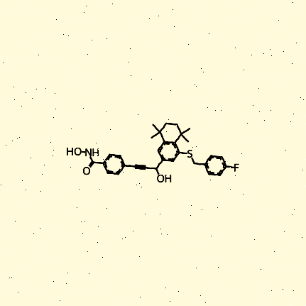 CC1(C)CCC(C)(C)c2c(SCc3ccc(F)cc3)cc(C(O)C#Cc3ccc(C(=O)NO)cc3)cc21